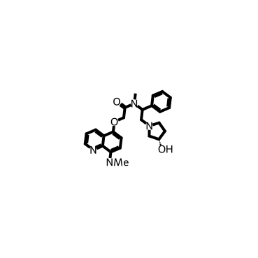 CNc1ccc(OCC(=O)N(C)C(CN2CC[C@H](O)C2)c2ccccc2)c2cccnc12